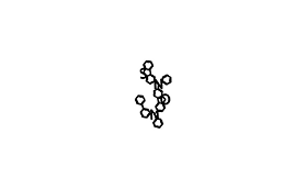 c1ccc(-c2cccc(N(c3ccccc3)c3ccc4oc5cc(N(c6ccccc6)c6ccc7sc8ccccc8c7c6)ccc5c4c3)c2)cc1